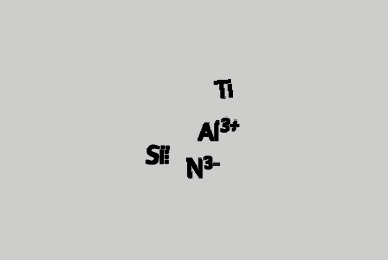 [Al+3].[N-3].[Si].[Ti]